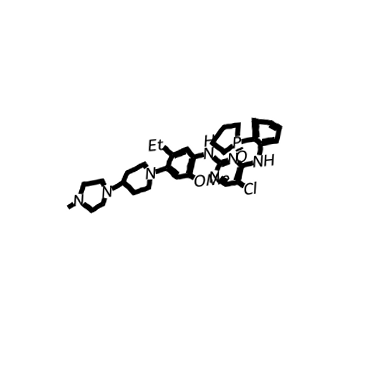 CCc1cc(Nc2ncc(Cl)c(Nc3ccccc3P3(=O)CCCC3)n2)c(OC)cc1N1CCC(N2CCN(C)CC2)CC1